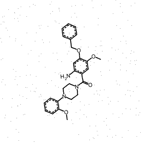 COc1cc(C(=O)N2CCN(c3ccccc3OC)CC2)c(N)cc1OCc1ccccc1